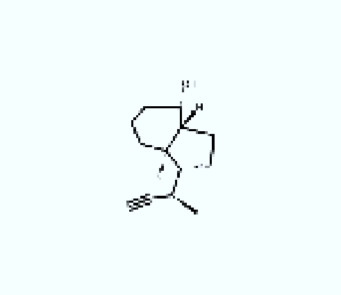 C#C[C@H](C)[C@H]1CC[C@H]2[C@@H](O)CCC[C@]12C